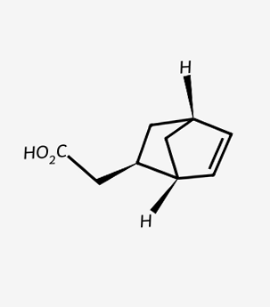 O=C(O)C[C@H]1C[C@@H]2C=C[C@H]1C2